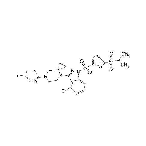 CC(C)S(=O)(=O)c1ccc(S(=O)(=O)n2nc(N3CCN(c4ccc(F)cn4)CC34CC4)c3c(Cl)cccc32)s1